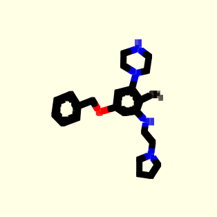 Cc1c(NCCN2CCCC2)cc(OCc2ccccc2)cc1N1CCNCC1